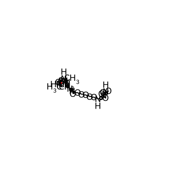 Cc1cnc(Nc2ccc(N3CCN(C(=O)CCOCCOCCOCCOCCOCCNc4ccc5c(c4)C(=O)N(C4CCC(=O)NC4=O)C5=O)CC3)cc2)nc1Nc1cccc(S(=O)(=O)NC(C)(C)C)c1